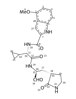 COc1cccc2[nH]c(C(=O)N[C@H](C(=O)N[C@H](C=O)C[C@@H]3CCNC3=O)C3CC3)cc12